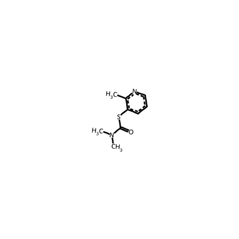 Cc1ncccc1SC(=O)N(C)C